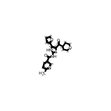 Cc1ccc(C(=O)NC2NC(c3ccco3)=C(C(=O)C3CCOCC3)S2)cn1